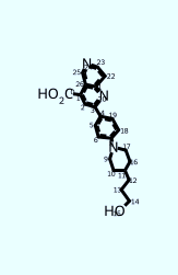 O=C(O)c1cc(-c2ccc(N3CCC(CCCO)CC3)cc2)nc2ccncc12